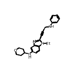 CCn1c(C#CCNc2ccccc2)nc2cc(NC3CCOCC3)ccc21